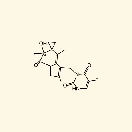 CC1=C(Cn2c(=O)[nH]cc(F)c2=O)C2=C(C)C3(CC3)[C@@](C)(O)C(=O)C2=C1